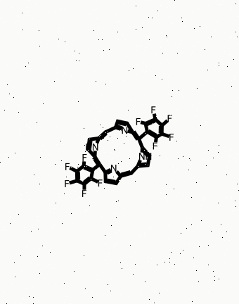 Fc1c(F)c(F)c(-c2c3nc(cc4ccc([nH]4)c(-c4c(F)c(F)c(F)c(F)c4F)c4nc(cc5ccc2[nH]5)C=C4)C=C3)c(F)c1F